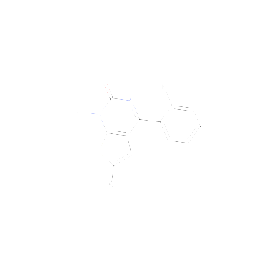 Cn1c(=O)nc(-c2ccccc2[N+](=O)[O-])c2cc([N+](=O)[O-])sc21